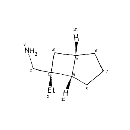 CC[C@@]1(CN)C[C@@H]2CCC[C@@H]21